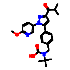 COc1ccc(-n2nc(C(=O)C(C)C)cc2-c2ccc(CN(C(=O)O)C(C)(C)C)cc2)cn1